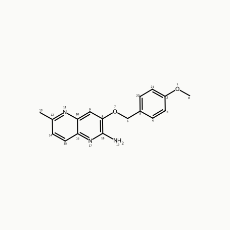 COc1ccc(COc2cc3nc(C)ccc3nc2N)cc1